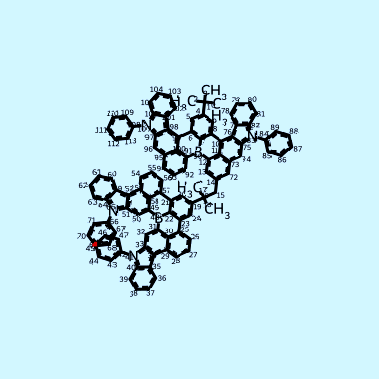 CC(C)(C)c1cc2c3c(c1)-c1c4c(cc(CC(C)(C)c5cc6c7c(c5)-c5cccc8c5c(cc5c8c8ccccc8n5-c5ccccc5)B7c5cc7c(c8cccc-6c58)c5ccccc5n7-c5ccccc5)cc4cc4c1c1ccccc1n4-c1ccccc1)B3c1cccc3cc4c(c-2c13)c1ccccc1n4-c1ccccc1